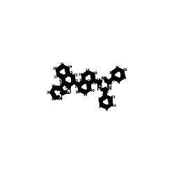 c1ccc(-c2nc(-c3ccccc3)nc(-c3cccc4c(-c5cc6ccccc6c6c5oc5ncccc56)cccc34)n2)cc1